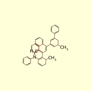 Cc1c(C2=C(N(c3ccccc3)c3ccccc3)C=CCC2C)cc(C2=CC(C)CC(c3ccccc3)=C2)c2ccccc12